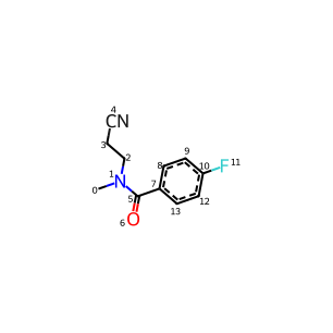 CN(CCC#N)C(=O)c1ccc(F)cc1